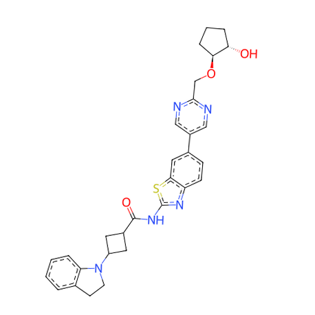 O=C(Nc1nc2ccc(-c3cnc(CO[C@H]4CCC[C@@H]4O)nc3)cc2s1)C1CC(N2CCc3ccccc32)C1